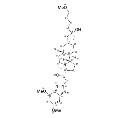 COCCCC[C@@](C)(O)C[C@@H]1CC[C@@H]2[C@H](CC[C@]3(C)[C@@H](C(=O)Cn4nc5cc(OC)cc(OC)c5n4)CC[C@@H]23)C1